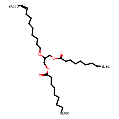 CCCCCCCC/C=C\CCCCCCCCOC(COC(=O)CCCCCCCCCCCCCCCCC)COC(=O)CCCCCCCCCCCCCCCCC